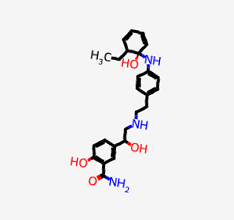 CCC1C=CC=C[C@]1(O)Nc1ccc(CCNCC(O)c2ccc(O)c(C(N)=O)c2)cc1